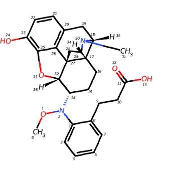 CON(c1ccccc1CCC(=O)O)[C@H]1CC[C@H]2[C@H]3Cc4ccc(O)c5c4[C@@]2(CCN3C)[C@H]1O5